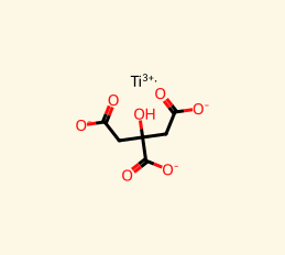 O=C([O-])CC(O)(CC(=O)[O-])C(=O)[O-].[Ti+3]